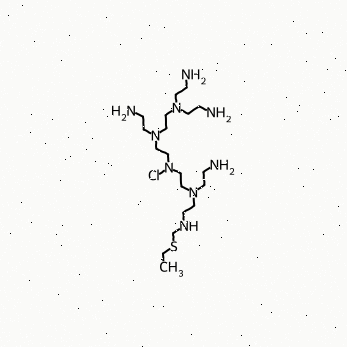 CCSCNCCN(CCN)CCN(Cl)CCN(CCN)CCN(CCN)CCN